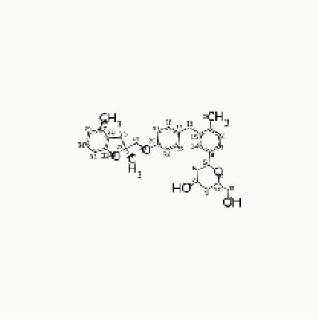 Cc1ccc(C2CC(O)CC(CO)O2)cc1Cc1ccc(OCC2(C)Cc3c(C)cccc3O2)cc1